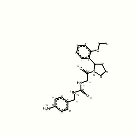 CCOc1ccccc1C1CCCN1C(=O)CNC(=O)NCc1ccc(N)cc1